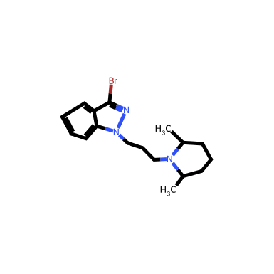 CC1CCCC(C)N1CCCn1nc(Br)c2ccccc21